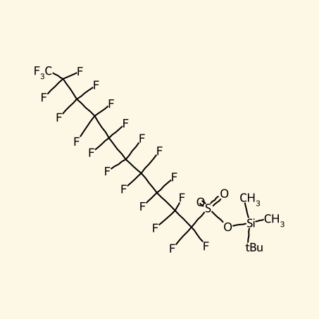 CC(C)(C)[Si](C)(C)OS(=O)(=O)C(F)(F)C(F)(F)C(F)(F)C(F)(F)C(F)(F)C(F)(F)C(F)(F)C(F)(F)C(F)(F)C(F)(F)F